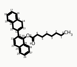 CCCCCCCC(=O)Oc1c(C2=CCc3ccccc3C2)ccc2ccccc12